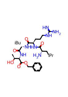 CC[C@H](C)[C@H](NC(=O)[C@@H](CCCNC(=N)N)NC(=O)[C@@H](N)CC(C)C)C(=O)N[C@H](C(=O)OCc1ccccc1)[C@H](C)O